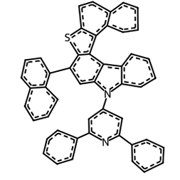 c1ccc(-c2cc(-n3c4ccccc4c4c5c(sc6ccc7ccccc7c65)c(-c5cccc6ccccc56)cc43)cc(-c3ccccc3)n2)cc1